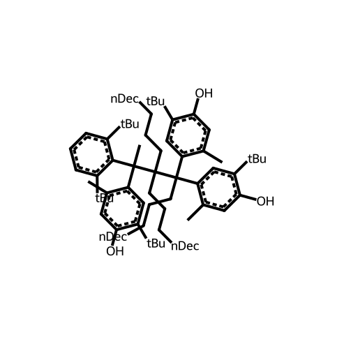 CCCCCCCCCCCCCC(c1cc(C(C)(C)C)c(O)cc1C)(c1cc(C(C)(C)C)c(O)cc1C)C(CCCCCCCCCCCCC)(CCCCCCCCCCCCC)C(C)(c1cc(C(C)(C)C)c(O)cc1C)c1c(C(C)(C)C)cccc1C(C)(C)C